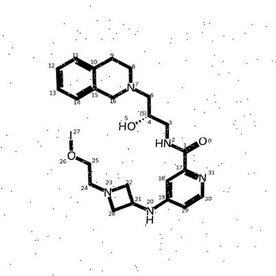 O=C(NC[C@H](O)CN1CCc2ccccc2C1)c1cc(NC2CN(CCOI)C2)ccn1